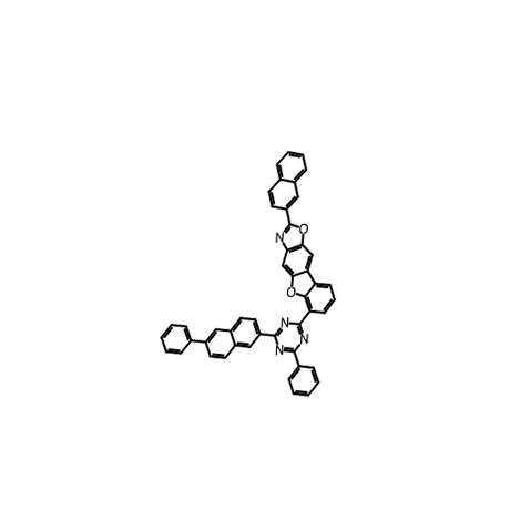 c1ccc(-c2ccc3cc(-c4nc(-c5ccccc5)nc(-c5cccc6c5oc5cc7nc(-c8ccc9ccccc9c8)oc7cc56)n4)ccc3c2)cc1